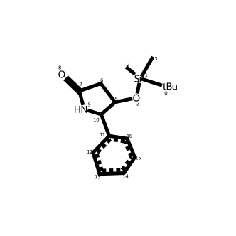 CC(C)(C)[Si](C)(C)OC1CC(=O)NC1c1ccccc1